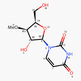 CO[C@@H]1[C@@H](O)[C@H](n2ccc(=O)[nH]c2=O)O[C@@H]1CO